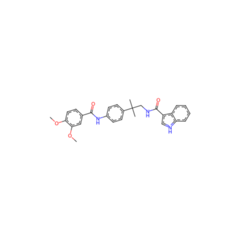 COc1ccc(C(=O)Nc2ccc(C(C)(C)CNC(=O)c3c[nH]c4ccccc34)cc2)cc1OC